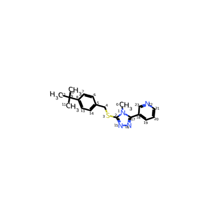 Cn1c(SCc2ccc(C(C)(C)C)cc2)nnc1-c1cccnc1